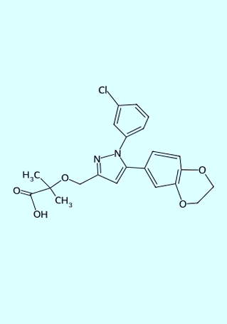 CC(C)(OCc1cc(-c2ccc3c(c2)OCCO3)n(-c2cccc(Cl)c2)n1)C(=O)O